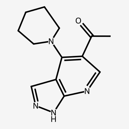 CC(=O)c1cnc2[nH]ncc2c1N1CCCCC1